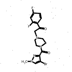 Cn1cc(Br)c(C(=O)N2CCN(CC(=O)c3ccc(F)cc3F)CC2)n1